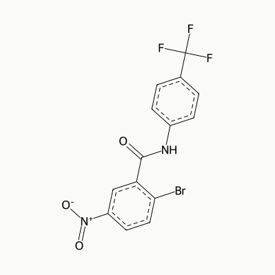 O=C(Nc1ccc(C(F)(F)F)cc1)c1cc([N+](=O)[O-])ccc1Br